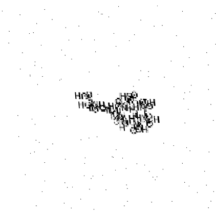 N[C@@H](CCC(=O)N[C@@H](CCC(=O)N[C@@H](CCC(=O)N[C@@H](CCC(=O)N[C@@H](CCC(=O)Nc1nc2ncc(CNc3ccc(C(=O)NC(CCC(=O)O)C(=O)O)cc3)nc2c(=O)[nH]1)C(=O)O)C(=O)O)C(=O)O)C(=O)O)C(=O)O